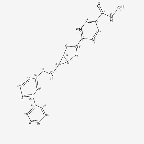 O=C(NO)c1cnc(N2CC3C(C2)C3NCc2cccc(-c3ccccc3)c2)nc1